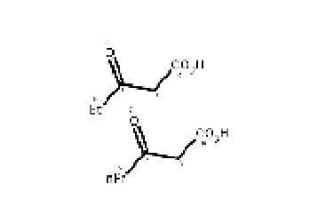 CCC(=O)CC(=O)O.CCCC(=O)CC(=O)O